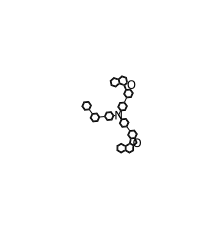 c1ccc(-c2cccc(-c3ccc(N(c4ccc(-c5ccc6oc7ccc8ccccc8c7c6c5)cc4)c4ccc(-c5ccc6oc7ccc8ccccc8c7c6c5)cc4)cc3)c2)cc1